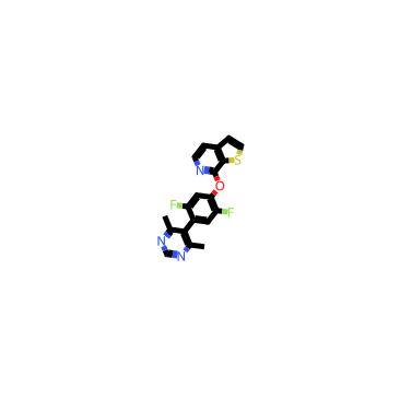 Cc1ncnc(C)c1-c1cc(F)c(Oc2nccc3ccsc23)cc1F